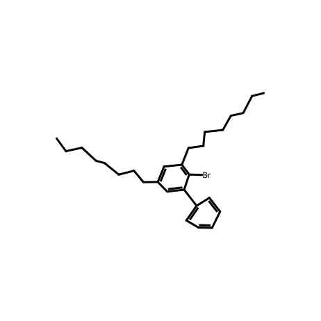 CCCCCCCCc1cc(CCCCCCCC)c(Br)c(-c2ccccc2)c1